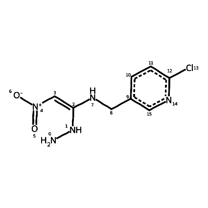 NN/C(=C\[N+](=O)[O-])NCc1ccc(Cl)nc1